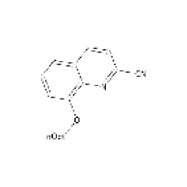 CCCCCCCCOc1cccc2ccc(C#N)nc12